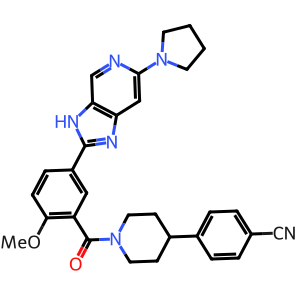 COc1ccc(-c2nc3cc(N4CCCC4)ncc3[nH]2)cc1C(=O)N1CCC(c2ccc(C#N)cc2)CC1